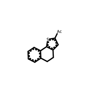 CC(=O)c1cc2c(s1)-c1ccccc1CC2